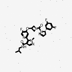 CC(C)CNC(=O)c1cnn(C)c1-c1cc(OC2CN(C(=O)N3N=CC[C@H]3c3cc(F)cc(F)c3)C2)c(F)cn1